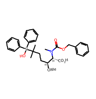 CO[C@@H](CCC(C)(C)[Si](O)(c1ccccc1)c1ccccc1)[C@@H](C(=O)O)N(C)C(=O)OCc1ccccc1